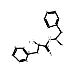 C[C@H](Cc1ccccc1)NC(=O)[C@H](N)Cc1ccccc1